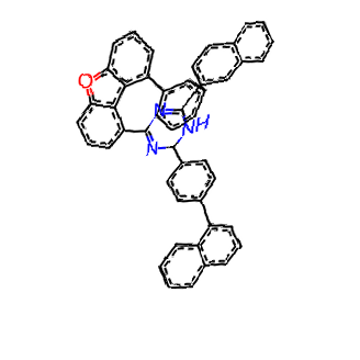 c1ccc(-c2cccc3oc4cccc(C5=NC(c6ccc(-c7cccc8ccccc78)cc6)NC(c6ccc7ccccc7c6)=N5)c4c23)cc1